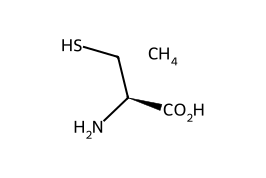 C.N[C@@H](CS)C(=O)O